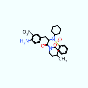 CC1CCN(C(=O)C(Cc2ccc(N)c([N+](=O)[O-])c2)N(C2CCCCC2)S(=O)(=O)c2ccccc2)CC1